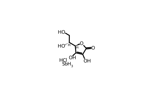 Cl.O=C1O[C@H]([C@H](O)CO)C(O)=C1O.[SbH3]